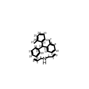 C=CCNCC=C.Cc1ccccc1C(c1ccccc1)c1ccccc1C